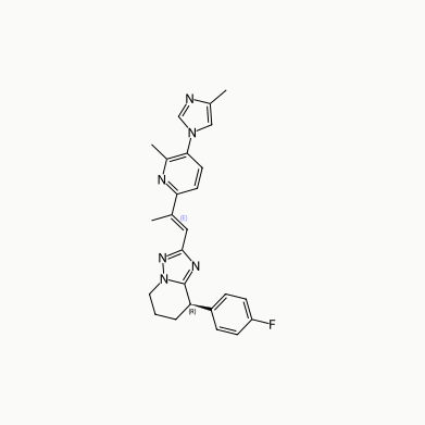 C/C(=C\c1nc2n(n1)CCC[C@@H]2c1ccc(F)cc1)c1ccc(-n2cnc(C)c2)c(C)n1